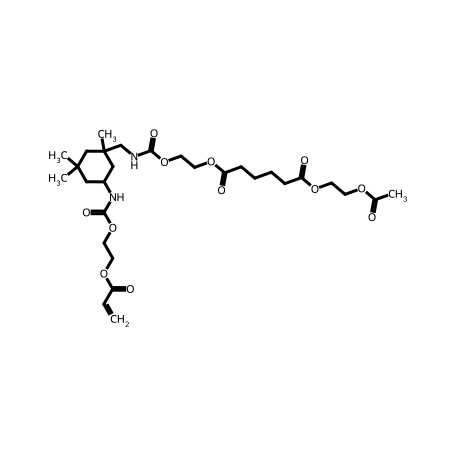 C=CC(=O)OCCOC(=O)NC1CC(C)(C)CC(C)(CNC(=O)OCCOC(=O)CCCCC(=O)OCCOC(C)=O)C1